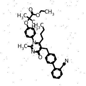 CCCCc1c(Cc2ccc(-c3ccccc3C#N)cc2)c(=O)nc(C)n1-c1ccc(OC(C)(C)C(=O)OCC)cc1